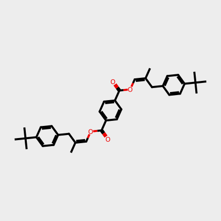 CC(=COC(=O)c1ccc(C(=O)OC=C(C)Cc2ccc(C(C)(C)C)cc2)cc1)Cc1ccc(C(C)(C)C)cc1